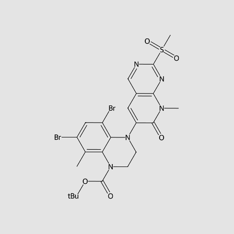 Cc1c(Br)cc(Br)c2c1N(C(=O)OC(C)(C)C)CCN2c1cc2cnc(S(C)(=O)=O)nc2n(C)c1=O